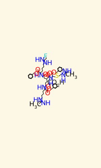 CC(=N)NCCCCC(NC(=O)CC(C(=O)O)C(CC(=O)NC(CCCCNC(=N)CF)C(=O)OCc1ccccc1)C(=O)NC(CSCCNC(C)=N)C(=O)OCc1ccccc1)C(=O)OCc1ccccc1